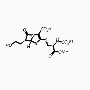 CCOC(=O)N[C@H](CSC1=C(C(=O)O)N2C(=O)[C@H](CCO)[C@H]2S1)C(=O)OC